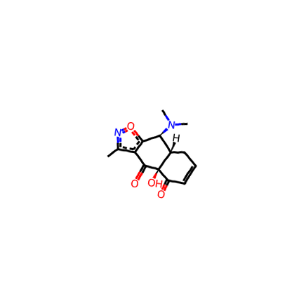 Cc1noc2c1C(=O)[C@@]1(O)C(=O)C=CC[C@H]1[C@@H]2N(C)C